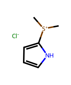 C[S+](C)c1ccc[nH]1.[Cl-]